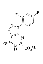 CCOC(=O)c1nc2c(cnn2-c2ccc(F)cc2F)c(=O)[nH]1